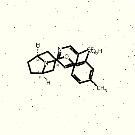 Cc1ccc(O[C@H]2C[C@H]3CC[C@@H](C2)N3c2ccc(C(F)(F)F)cn2)c(C(=O)O)c1